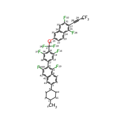 CC1CCC(c2ccc3c(F)c(-c4cc(F)c(C(F)(F)Oc5ccc6c(F)c(C#CC(F)(F)F)c(F)cc6c5)c(F)c4)c(F)cc3c2)CC1